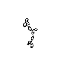 c1ccc(N(c2ccc(-c3ccc(C4c5ccccc5-c5ccccc54)cc3)cc2)c2ccc(-c3cccc4c3sc3ccccc34)cc2)cc1